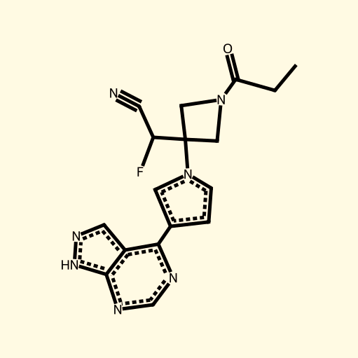 CCC(=O)N1CC(C(F)C#N)(n2ccc(-c3ncnc4[nH]ncc34)c2)C1